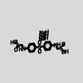 O=S(O)CNc1ccc(S(=O)(=O)c2ccc(NCS(=O)O)cc2)cc1.[NaH].[NaH].[NaH]